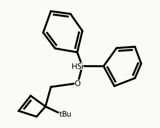 CC(C)(C)C1(CO[SiH](c2ccccc2)c2ccccc2)C=CC1